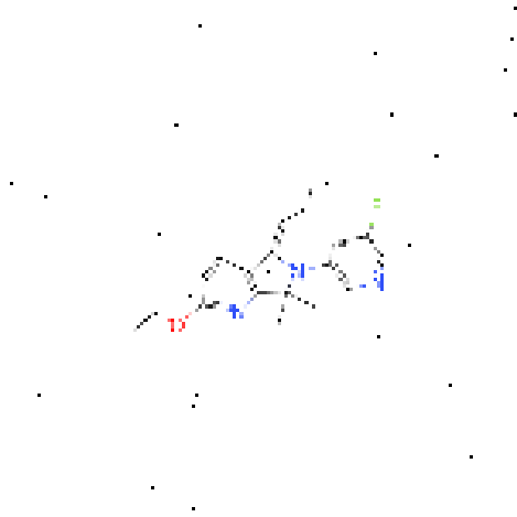 CCC=C1c2ccc(OCC)nc2C(C)(C)N1c1cncc(F)c1